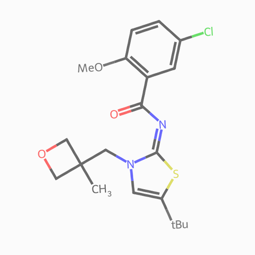 COc1ccc(Cl)cc1C(=O)N=c1sc(C(C)(C)C)cn1CC1(C)COC1